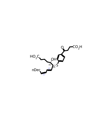 CCCCCCCCCC/C=C\C=C\[C@@H](Sc1ccc(C(=O)CCC(=O)O)cc1)[C@@H](O)CCCC(=O)O